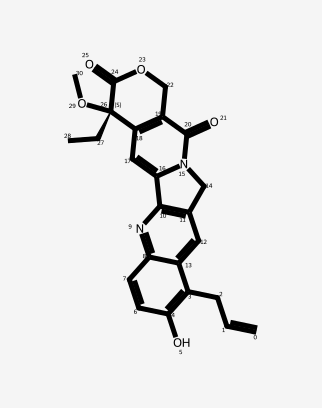 C=CCc1c(O)ccc2nc3c(cc12)Cn1c-3cc2c(c1=O)COC(=O)[C@@]2(CC)OC